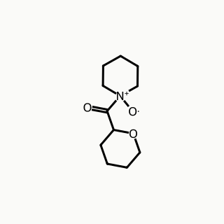 [O][N+]1(C(=O)C2CCCCO2)CCCCC1